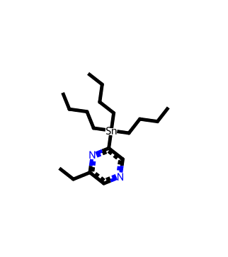 CCC[CH2][Sn]([CH2]CCC)([CH2]CCC)[c]1cncc(CC)n1